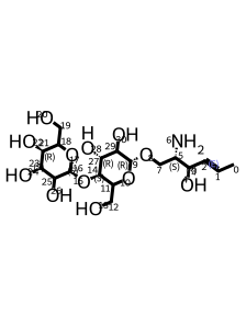 C/C=C/[C@@H](O)[C@@H](N)CO[C@@H]1OC(CO)[C@@H](O[C@@H]2OC(CO)[C@H](O)[C@H](O)C2O)[C@H](O)C1O